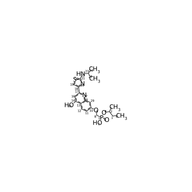 CCC(C)OP(=O)(O)COc1ccc2c(O)cc(-c3csc(NC(C)C)n3)nc2c1